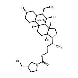 CC[C@@H]1C2C[C@H](O)CC[C@]2(C)[C@H]2CC[C@]3(C)[C@@H]([C@H](C)CCOC(=O)N4CC[C@H](CO)C4)CC[C@H]3C2[C@@H]1O